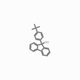 CC(C)(C)c1ccc(C2(O)c3ccccc3-c3ccccc32)cc1